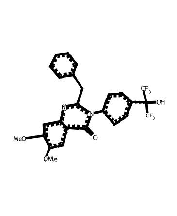 COc1cc2nc(Cc3ccccc3)n(-c3ccc(C(O)(C(F)(F)F)C(F)(F)F)cc3)c(=O)c2cc1OC